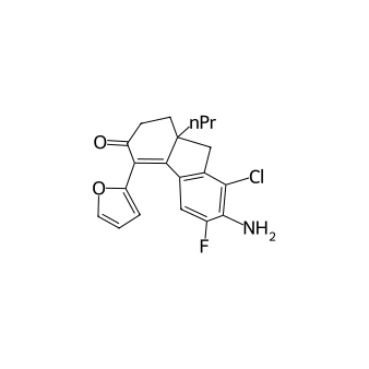 CCCC12CCC(=O)C(c3ccco3)=C1c1cc(F)c(N)c(Cl)c1C2